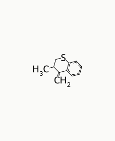 C=C1c2ccccc2SCC1C